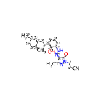 CC1=NN(CCC#N)C(=O)C1=NNc1cccc(CCc2cc(C)ccc2C)c1O